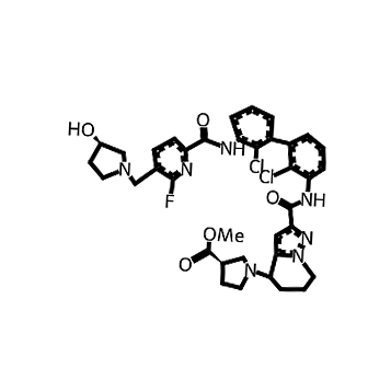 COC(=O)[C@@H]1CCN(C2CCCn3nc(C(=O)Nc4cccc(-c5cccc(NC(=O)c6ccc(CN7CC[C@@H](O)C7)c(F)n6)c5Cl)c4Cl)cc32)C1